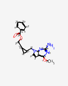 COc1nc(N)nc2c1ccn2CC1CC1COC(=O)c1ccccc1